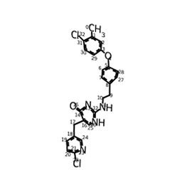 Cc1cc(Oc2ccc(CCNc3nc(=O)c(Cc4ccc(Cl)nc4)c[nH]3)cc2)ccc1Cl